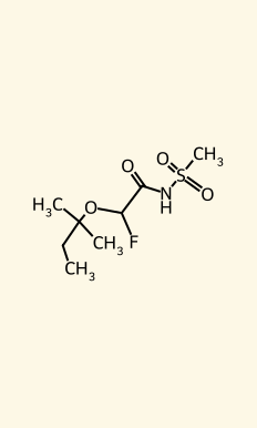 CCC(C)(C)OC(F)C(=O)NS(C)(=O)=O